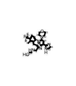 Cc1c(Cc2c(CNCCO)nc3c(-c4ncc[nH]4)cc(N4CCOCC4)nn23)cccc1C(F)(F)F